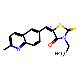 Cc1ccc2cc(/C=C3/SC(=S)N(CC(=O)O)C3=O)ccc2n1